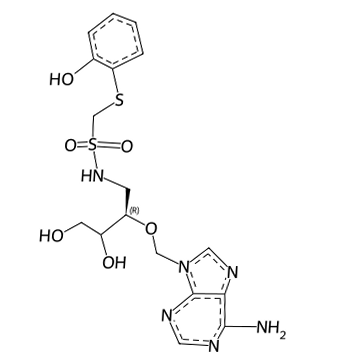 Nc1ncnc2c1ncn2CO[C@H](CNS(=O)(=O)CSc1ccccc1O)C(O)CO